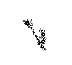 O=C(Nc1ccc(OC(F)(F)Cl)cc1)c1cnc(N2CC[C@@H](O)C2)c(-c2ccnn2CCOCCOCCOCCNC(=O)[C@H]2C[C@@H]3C[C@H]2[C@@H](O)[C@H]3O)c1